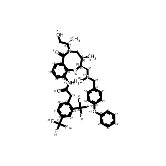 C[C@@H]1CN([C@@H](C)CO)C(=O)c2cccc(NC(=O)Cc3ccc(C(F)(F)F)cc3C(F)(F)F)c2O[C@@H]1CN(C)Cc1ccc(Oc2ccccc2)cc1